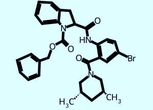 C[C@@H]1C[C@H](C)CN(C(=O)c2cc(Br)ccc2NC(=O)C2Cc3ccccc3N2C(=O)OCc2ccccc2)C1